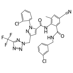 Cc1cc(C#N)cc(C(=O)NCc2cccc(Cl)c2)c1NC(=O)c1cc(Cn2nnc(C(F)(F)F)n2)nn1-c1ccccc1Cl